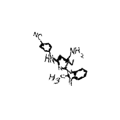 Cc1nc2ccccc2n1-c1nc(N)cc(Nc2ccc(C#N)cc2)n1